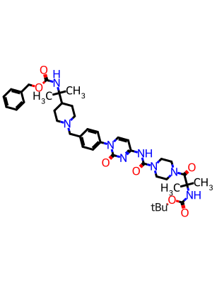 CC(C)(C)OC(=O)NC(C)(C)C(=O)N1CCN(C(=O)Nc2ccn(-c3ccc(CN4CCC(C(C)(C)NC(=O)OCc5ccccc5)CC4)cc3)c(=O)n2)CC1